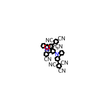 N#Cc1cc(C#N)c(-c2ccc3c(c2)c2ccccc2n3-c2ccc(-c3c(C(F)(F)F)cccc3C(F)(F)F)c(-c3cc(C#N)ccc3-n3c4ccccc4c4cc(-c5c(C#N)cc(C#N)cc5C#N)ccc43)c2)c(C#N)c1